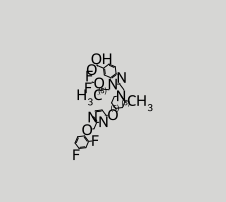 C[C@@H](Cn1c(CN2CC[C@H](Oc3ccnc(COc4ccc(F)cc4F)n3)C[C@@H]2C)nc2ccc(C(=O)O)cc21)OC(F)F